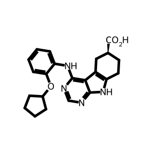 O=C(O)[C@H]1CCc2[nH]c3ncnc(Nc4ccccc4OC4CCCC4)c3c2C1